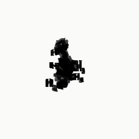 COc1ccc2nc(Nc3nc(C)cc(CSc4nc5ccccc5[nH]4)n3)nc(C)c2c1